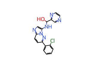 OC(Nc1cnc2ccc(-c3ccccc3Cl)nn12)c1cnccn1